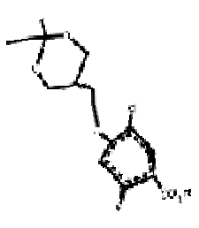 CC1(C)OCC(COc2cc(F)c(C(=O)O)cc2Cl)CO1